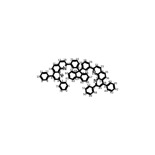 c1ccc(-c2cc(-c3ccccc3)c3ccc4ccc(-c5cccc(C6(c7cccc(-c8ccc9ccc%10c(-c%11ccccc%11)cc(-c%11ccccc%11)nc%10c9n8)c7)c7ccccc7-c7ccccc76)c5)nc4c3n2)cc1